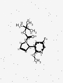 COc1ncc(F)cc1C1C=CCN1C(=O)OC(C)(C)C